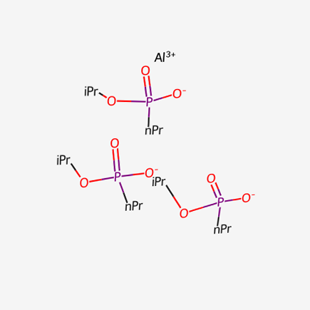 CCCP(=O)([O-])OC(C)C.CCCP(=O)([O-])OC(C)C.CCCP(=O)([O-])OC(C)C.[Al+3]